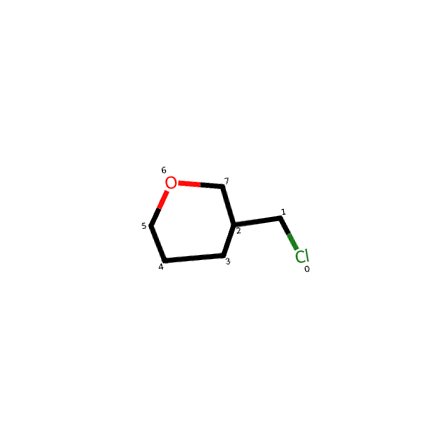 ClCC1CCCOC1